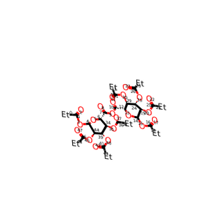 CCC(=O)OC1O[C@H](C(=O)OC(=O)[C@H]2OC(OC(=O)CC)[C@H](OC(=O)CC)[C@@H](OC(=O)CC)[C@@H]2OC(=O)CC)[C@@H](OC(=O)CC)[C@H](OC(=O)CC)[C@H]1OC(=O)CC